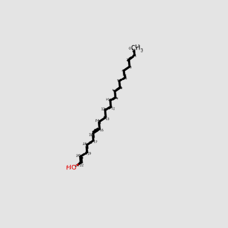 CCCCCCCCCCCCCCCC=CCCCC=CO